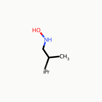 CC(C)C(C)CNO